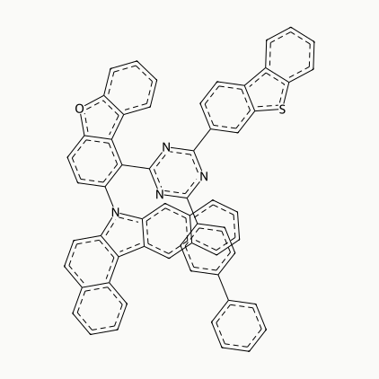 c1ccc(-c2ccc(-c3nc(-c4ccc5c(c4)sc4ccccc45)nc(-c4c(-n5c6cc7ccccc7cc6c6c7ccccc7ccc65)ccc5oc6ccccc6c45)n3)cc2)cc1